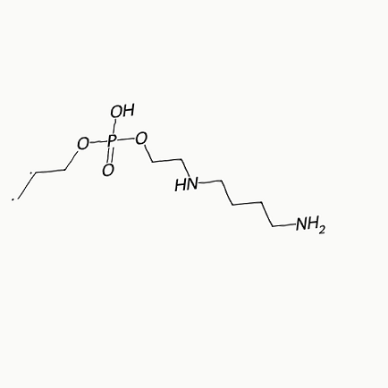 [CH2][CH]COP(=O)(O)OCCNCCCCN